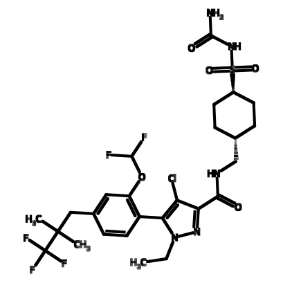 CCn1nc(C(=O)NC[C@H]2CC[C@H](S(=O)(=O)NC(N)=O)CC2)c(Cl)c1-c1ccc(CC(C)(C)C(F)(F)F)cc1OC(F)F